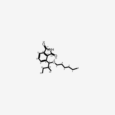 CCCCCCOC(c1cccc2c1C(=O)NC2=O)C(C)CC